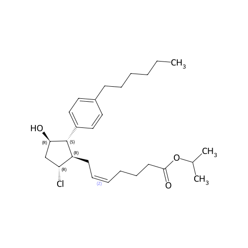 CCCCCCc1ccc([C@@H]2[C@@H](C/C=C\CCCC(=O)OC(C)C)[C@H](Cl)C[C@H]2O)cc1